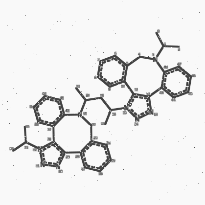 CC(C)N1Cc2ccccc2-c2c(nnn2C(C)CC(C)N2Cc3ccccc3-c3nnn(C(C)C)c3-c3ccccc32)-c2ccccc21